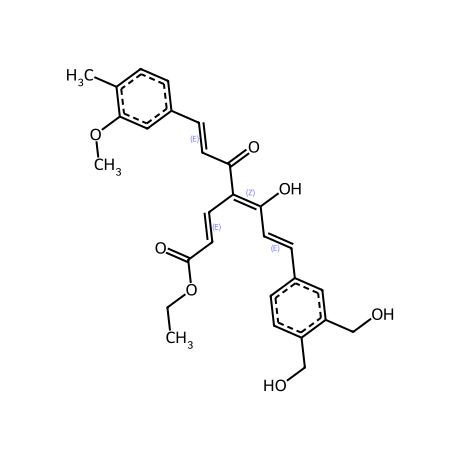 CCOC(=O)/C=C/C(C(=O)/C=C/c1ccc(C)c(OC)c1)=C(O)\C=C\c1ccc(CO)c(CO)c1